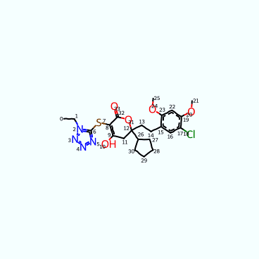 CCn1nnnc1SC1=C(O)CC(CCc2cc(Cl)c(OC)cc2OC)(C2CCCC2)OC1=O